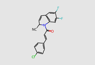 N#CC1C=Cc2cc(F)c(F)cc2N1C(=O)C=Cc1ccc(Cl)cc1